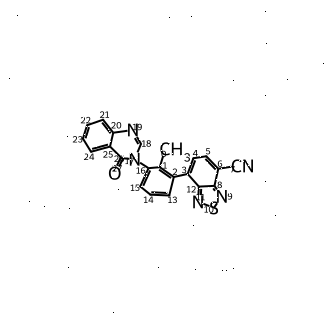 Cc1c(-c2ccc(C#N)c3nsnc23)cccc1-n1cnc2ccccc2c1=O